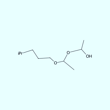 CC(C)CCCOC(C)OC(C)O